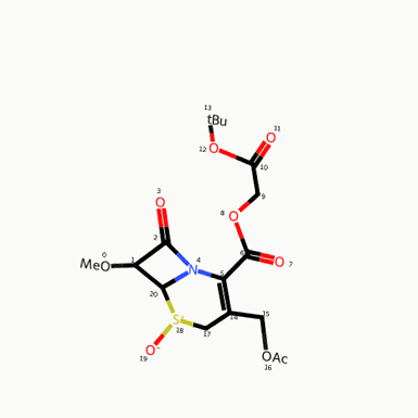 COC1C(=O)N2C(C(=O)OCC(=O)OC(C)(C)C)=C(COC(C)=O)C[S+]([O-])C12